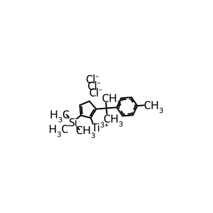 Cc1ccc(C(C)(C)C2=[C]([Ti+3])C([Si](C)(C)C)=CC2)cc1.[Cl-].[Cl-].[Cl-]